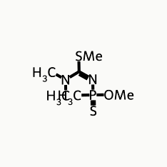 COP(C)(=S)N=C(SC)N(C)C